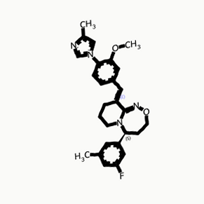 COc1cc(/C=C2\CCCN3C2=NOCC[C@H]3c2cc(C)cc(F)c2)ccc1-n1cnc(C)c1